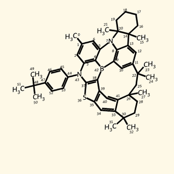 Cc1cc2c3c(c1)N1c4c5cc(cc4C4(C)CCCCC14C)C(C)(C)CC1(C)CCC(C)(C)c4cc6sc(c(c6cc41)B53)N2c1ccc(C(C)(C)C)cc1